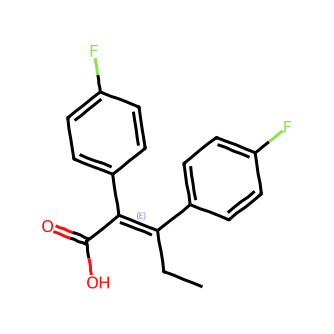 CC/C(=C(\C(=O)O)c1ccc(F)cc1)c1ccc(F)cc1